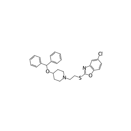 Clc1ccc2oc(SCCN3CCC(OC(c4ccccc4)c4ccccc4)CC3)nc2c1